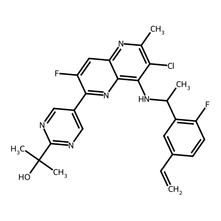 C=Cc1ccc(F)c(C(C)Nc2c(Cl)c(C)nc3cc(F)c(-c4cnc(C(C)(C)O)nc4)nc23)c1